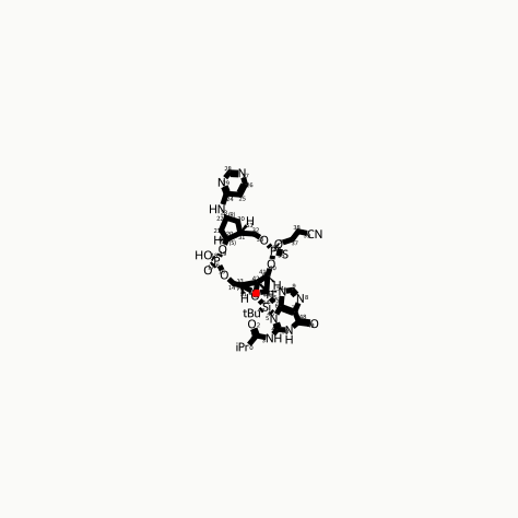 CC(C)C(=O)Nc1nc2c(ncn2[C@@H]2O[C@@H]3COP(=O)(O)O[C@H]4C[C@H](Nc5ccncn5)C[C@@H]4CO[P@](=S)(OCCC#N)O[C@@H]2[C@@H]3O[Si](C)(C)C(C)(C)C)c(=O)[nH]1